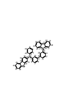 c1ccc(N(c2cccc(-c3cccc(-n4c5ccccc5c5ccccc54)c3)c2)c2ccc3c(c2)sc2ccccc23)cc1